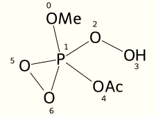 COP1(OO)(OC(C)=O)OO1